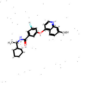 COc1ccc2c(Oc3cc(F)cc(C(=O)N[C@H](C)C4CCCCC4)c3)ccnc2c1